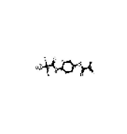 C=C(C)C(=O)OC1CCC(OC(=O)C(F)(F)S(=O)(=O)O)CC1